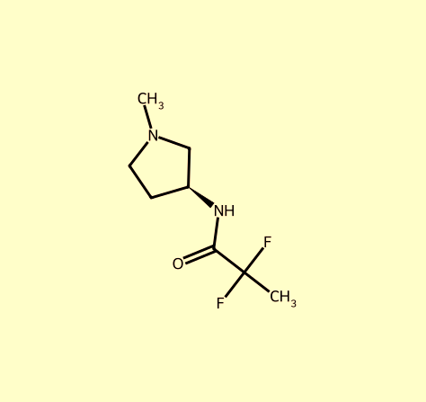 CN1CC[C@H](NC(=O)C(C)(F)F)C1